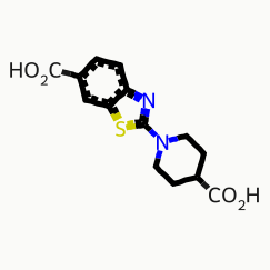 O=C(O)c1ccc2nc(N3CCC(C(=O)O)CC3)sc2c1